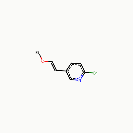 CCO/C=C/c1ccc(Br)nc1